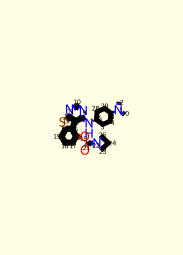 CN(C)[C@H]1CC[C@H](Nc2ncnc3sc4cccc(OC(=O)N5CCC5)c4c23)CC1